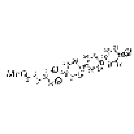 COCCC[C@H]1CO[C@H]([C@H]2CC[C@H](c3ccc(-c4ccc(Cl)cc4)cc3)CC2)OC1